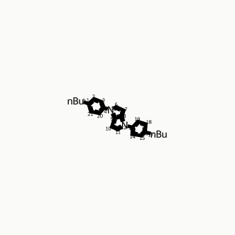 CCCCc1ccc(-n2ccc3c2ccn3-c2ccc(CCCC)cc2)cc1